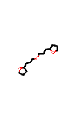 C(COCCCC1CCCO1)CC1CCCO1